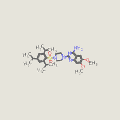 COc1cc2nc(N3CCN(S(=O)(=O)c4c(C(C)C)cc(C(C)C)cc4C(C)C)CC3)nc(N)c2cc1OC